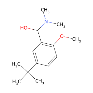 COc1ccc(C(C)(C)C)cc1C(O)N(C)C